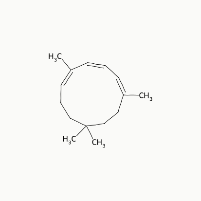 CC1=CCCC(C)(C)CCC(C)=CC=C1